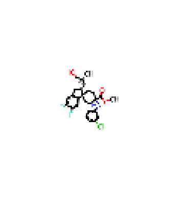 COC(=O)C1(Nc2cccc(Cl)c2)CCC2(CC1)c1cc(F)c(F)cc1C[C@H]2C[C@@H](C)CO